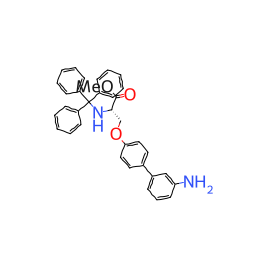 COC(=O)[C@H](COc1ccc(-c2cccc(N)c2)cc1)NC(c1ccccc1)(c1ccccc1)c1ccccc1